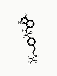 CCS(=O)(=O)NCCc1ccc(S(=O)(=O)Nc2cccc3c(Cl)c[nH]c23)cc1